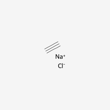 C#C.[Cl-].[Na+]